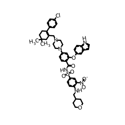 CC1(C)CCC(c2ccc(Cl)cc2)=C(CN2CCN(c3ccc(C(=O)NS(=O)(=O)c4ccc(NCC5CCOCC5)c([N+](=O)[O-])c4)c(Oc4ccc5[nH]ccc5c4)c3)CC2)C1